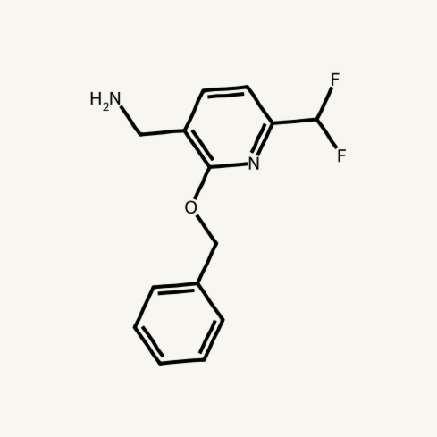 NCc1ccc(C(F)F)nc1OCc1ccccc1